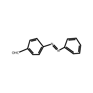 O=Cc1ccc(N=Nc2ccccc2)cc1